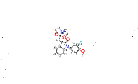 COc1ccc(N2C(=O)C(CC(OC)(OC)N(C)C)c3ccccc32)cc1F